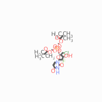 CC(C)(C)C(=O)OCOP(=O)(OCOC(=O)C(C)(C)C)OC[C@@]1(CCl)O[C@@H](n2ccc(=O)[nH]c2=O)[C@H](F)[C@@H]1O